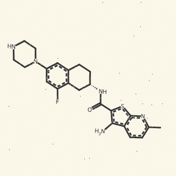 Cc1ccc2c(N)c(C(=O)N[C@H]3CCc4cc(N5CCNCC5)cc(F)c4C3)sc2n1